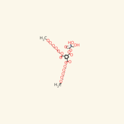 C=COCOCOCOCOCOC(=O)c1cc(C(=O)OCOCOCOCOCOC=C)cc(C(=O)OOC(=C=O)/C(=C/O)CO)c1